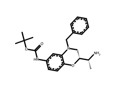 C[C@@H](N)[C@H]1CN(Cc2ccccc2)c2cc(NC(=O)OC(C)(C)C)ccc2O1